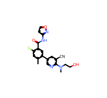 Cc1cc(F)c(C(=O)Nc2ccon2)cc1-c1cnc(N(C)CCO)c(C#N)c1